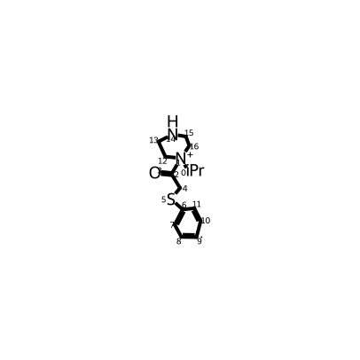 CC(C)[N+]1(C(=O)CSc2cc[c]cc2)CCNCC1